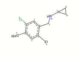 CCc1cc(OC)c(Cl)cc1CNC1CC1